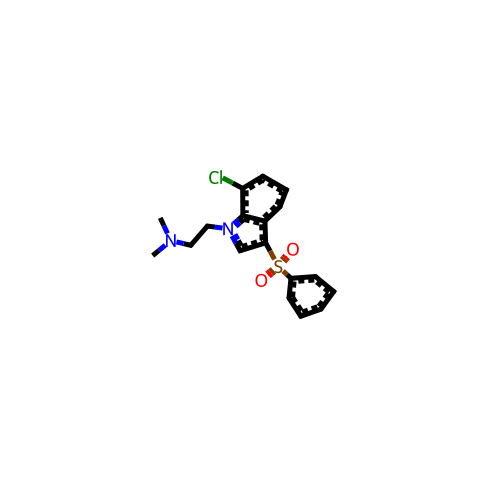 CN(C)CCn1cc(S(=O)(=O)c2ccccc2)c2cccc(Cl)c21